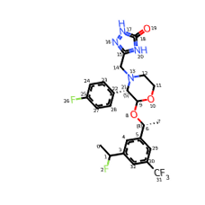 CC(F)c1cc([C@@H](C)OC2OCCN(Cc3n[nH]c(=O)[nH]3)[C@H]2c2ccc(F)cc2)cc(C(F)(F)F)c1